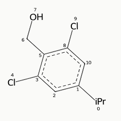 CC(C)c1cc(Cl)c(CO)c(Cl)c1